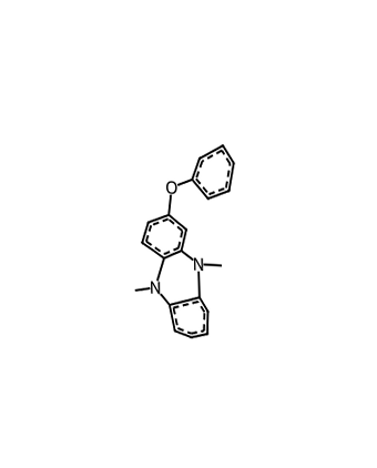 CN1c2ccccc2N(C)c2cc(Oc3ccccc3)ccc21